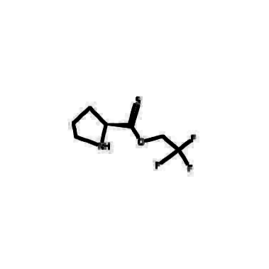 FC(F)(F)COC(=S)[C@@H]1CCCN1